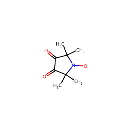 CC1(C)C(=O)C(=O)C(C)(C)N1[O]